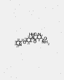 Cc1ncc(C(N)=O)cc1C(=O)Nc1ccc(OCc2ccccn2)cc1